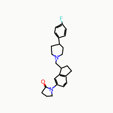 O=C1CCCN1c1ccc2c(c1)C(CN1CCC(c3ccc(F)cc3)CC1)CC2